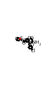 N[C@H]1CS(=O)(=O)c2ccc(C(=O)NCC3(F)CCOCC3)cc2N(Cc2ccc(Cl)cc2)C1=O